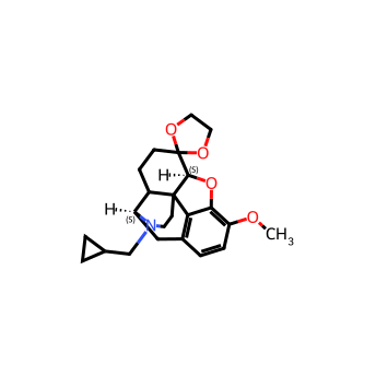 COc1ccc2c3c1O[C@@H]1C4(CCC5[C@H](C2)N(CC2CC2)CCC351)OCCO4